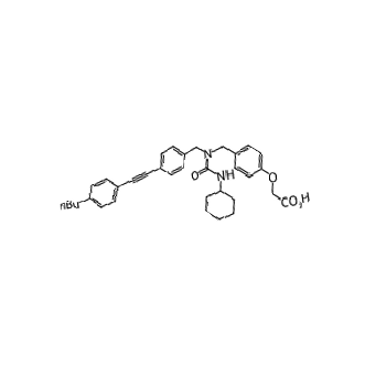 CCCCc1ccc(C#Cc2ccc(CN(Cc3ccc(OCC(=O)O)cc3)C(=O)NC3CCCCC3)cc2)cc1